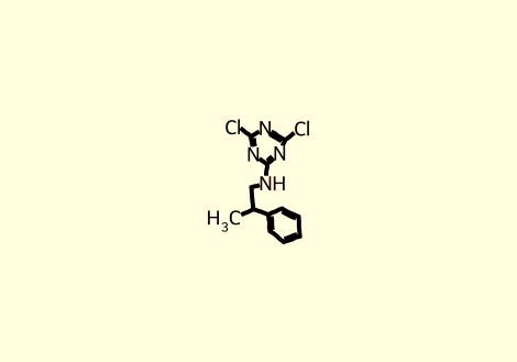 CC(CNc1nc(Cl)nc(Cl)n1)c1ccccc1